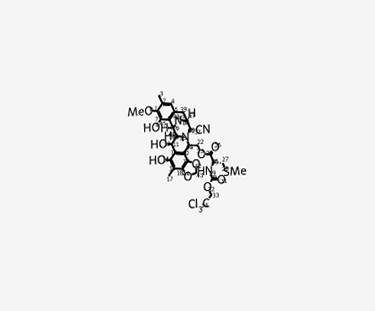 COc1c(C)cc2c(c1O)[C@H]1[C@@H]3C(O)c4c(O)c(C)c5c(c4[C@H](COC(=O)[C@H](CSC)NC(=O)OCC(Cl)(Cl)Cl)N3[C@@H](C#N)[C@H](C2)N1C)OCO5